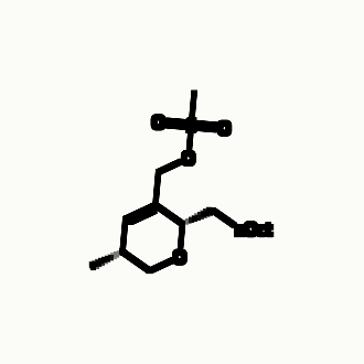 CCCCCCCCC[C@@H]1OC[C@H](C)C=C1COS(C)(=O)=O